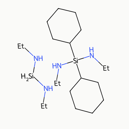 CCN[SiH2]NCC.CCN[Si](NCC)(C1CCCCC1)C1CCCCC1